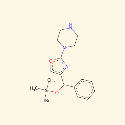 CC(C)(C)[Si](C)(C)OC(c1ccccc1)c1coc(N2CCNCC2)n1